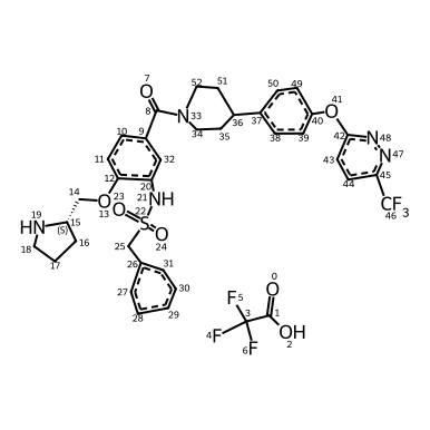 O=C(O)C(F)(F)F.O=C(c1ccc(OC[C@@H]2CCCN2)c(NS(=O)(=O)Cc2ccccc2)c1)N1CCC(c2ccc(Oc3ccc(C(F)(F)F)nn3)cc2)CC1